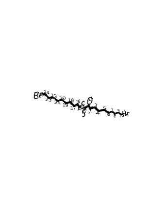 O=C(CCCCCCCCCBr)C(=S)SCCCCCCCCCCBr